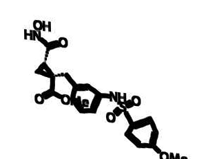 COC(=O)[C@@]1(Cc2cccc(NS(=O)(=O)c3ccc(OC)cc3)c2)C[C@@H]1C(=O)NO